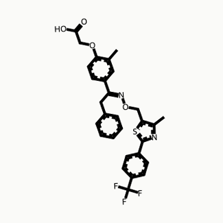 Cc1cc(C(Cc2ccccc2)=NOCc2sc(-c3ccc(C(F)(F)F)cc3)nc2C)ccc1OCC(=O)O